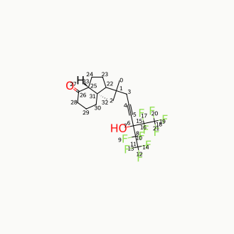 CC(C)(CC#CC(O)(C(F)(F)C(F)(F)F)C(F)(F)C(F)(F)F)C1CC[C@H]2C(=O)CCC[C@]12C